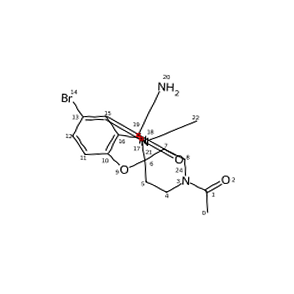 CC(=O)N1CCC2(CC1)Oc1ccc(Br)cc1C21N=C(N)N(C)C1=O